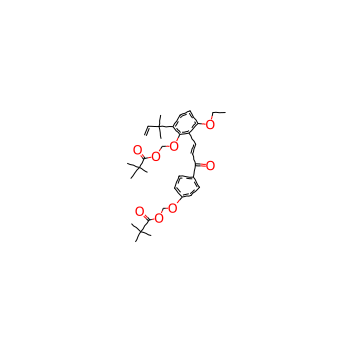 C=CC(C)(C)c1ccc(OCC)c(C=CC(=O)c2ccc(OCOC(=O)C(C)(C)C)cc2)c1OCOC(=O)C(C)(C)C